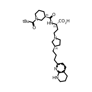 CC(C)(C)C(=O)N1CCC[C@@H](C(=O)N[C@@H](CCN2CC[C@@H](CCCc3ccc4c(n3)NCCC4)C2)C(=O)O)C1